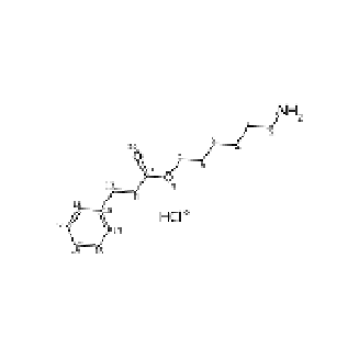 Cl.NCCCCCCOC(=O)C=Cc1ccccc1